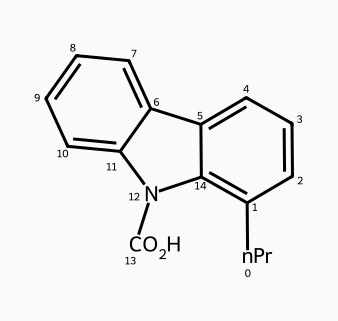 CCCc1cccc2c3ccccc3n(C(=O)O)c12